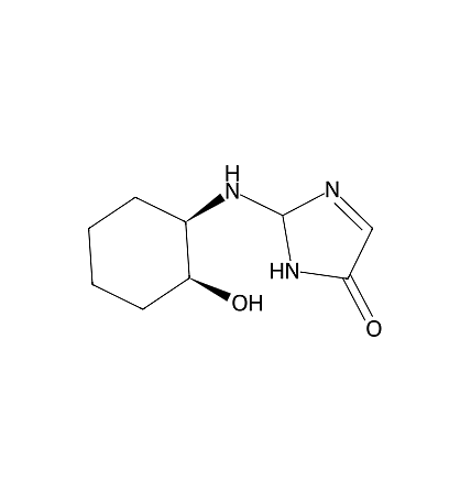 O=C1C=NC(N[C@@H]2CCCC[C@@H]2O)N1